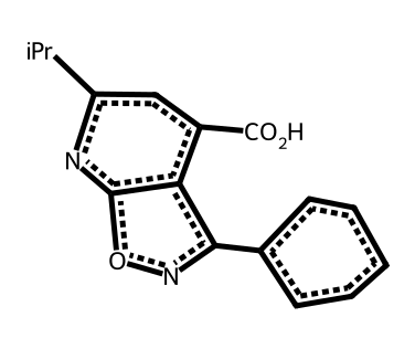 CC(C)c1cc(C(=O)O)c2c(-c3ccccc3)noc2n1